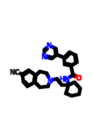 N#Cc1ccc2c(c1)CCN(CCC1(NC(=O)c3cccc(-c4cncnc4)c3)CCCCC1)CC2